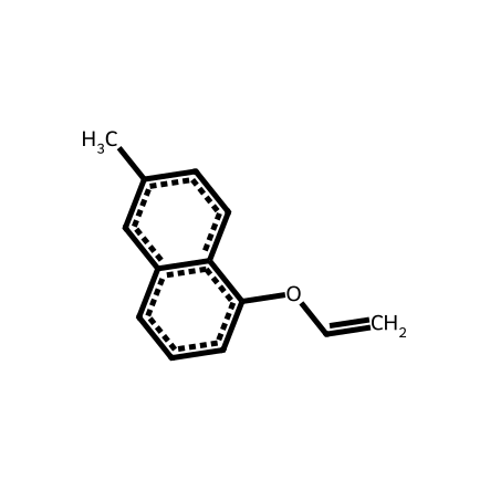 C=COc1cccc2cc(C)ccc12